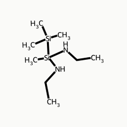 CCN[Si](C)(NCC)[Si](C)(C)C